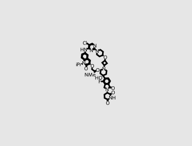 CNC(=O)COc1cc2cc(Nc3nc(N4CCC(OC5CC(N6CCC(O)(c7ccc8c(c7F)CN([C@@H]7CCC(=O)NC7=O)C8=O)CC6)C5)CC4)ncc3Cl)ccc2n(C(C)C)c1=O